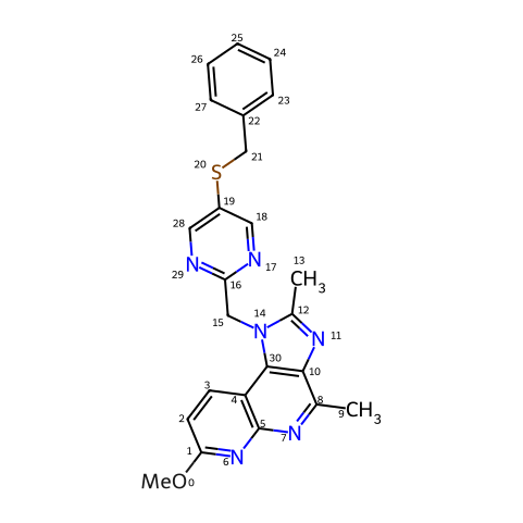 COc1ccc2c(n1)nc(C)c1nc(C)n(Cc3ncc(SCc4ccccc4)cn3)c12